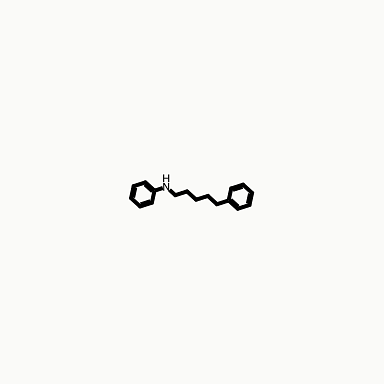 c1ccc(CCCCCNc2ccccc2)cc1